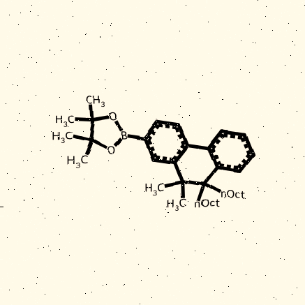 CCCCCCCCC1(CCCCCCCC)c2ccccc2-c2ccc(B3OC(C)(C)C(C)(C)O3)cc2C1(C)C